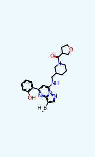 Bc1cnn2c(NCC3CCCN(C(=O)C4CCOC4)C3)cc(-c3ccccc3O)nc12